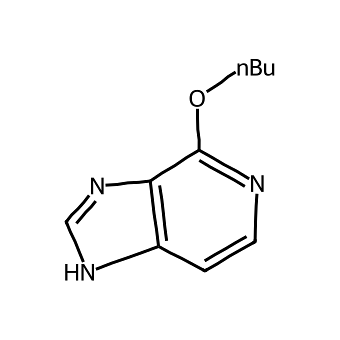 CCCCOc1nccc2[nH]cnc12